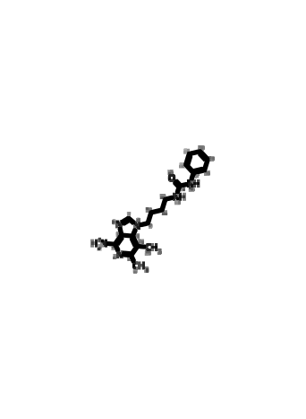 Cc1nc(N)c2ncn(CCCCNC(=O)Nc3ccccc3)c2c1C